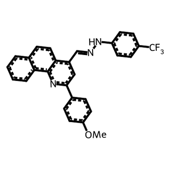 COc1ccc(-c2cc(C=NNc3ccc(C(F)(F)F)cc3)c3ccc4ccccc4c3n2)cc1